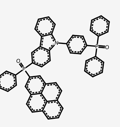 O=P(c1ccccc1)(c1ccccc1)c1ccc(-n2c3ccccc3c3cc(P(=O)(c4ccccc4)c4cc5ccc6cccc7ccc(c4)c5c67)ccc32)cc1